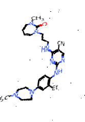 CCc1cc(N2CCN(C)CC2)ccc1Nc1ncc(C#N)c(NCCCN2C=CC=CN(C)C2=O)n1